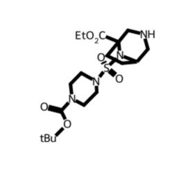 CCOC(=O)C12CCC(CNC1)N2S(=O)(=O)N1CCN(C(=O)OC(C)(C)C)CC1